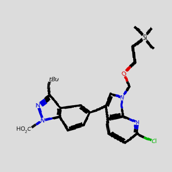 CC(C)(C)c1nn(C(=O)O)c2ccc(-c3cn(COCC[Si](C)(C)C)c4nc(Cl)ccc34)cc12